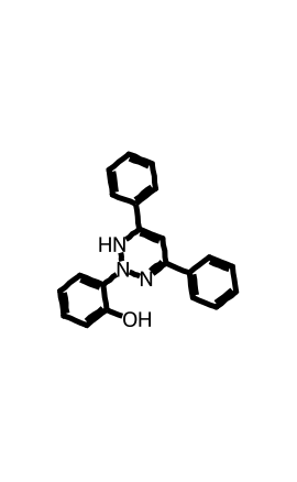 Oc1ccccc1N1N=C(c2ccccc2)C=C(c2ccccc2)N1